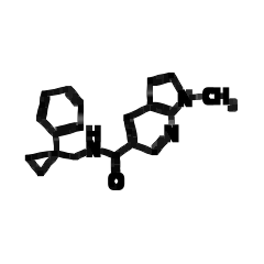 Cn1ccc2cc(C(=O)NCC3(c4ccccc4)CC3)cnc21